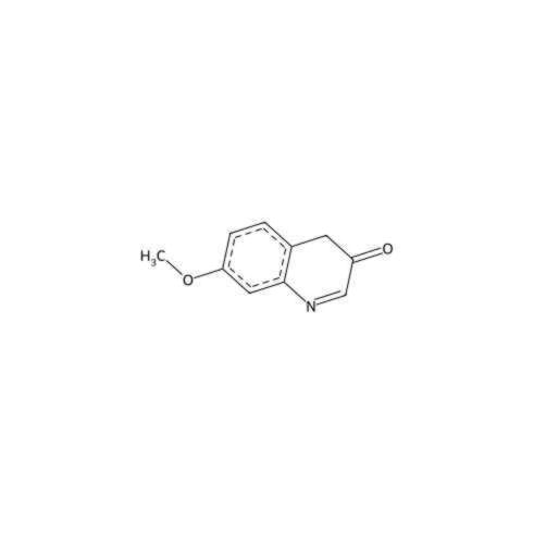 COc1ccc2c(c1)N=CC(=O)C2